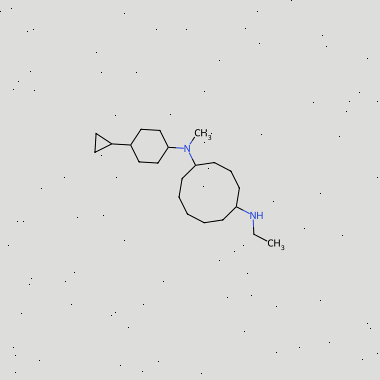 CCNC1CCCCCC(N(C)C2CCC(C3CC3)CC2)CCC1